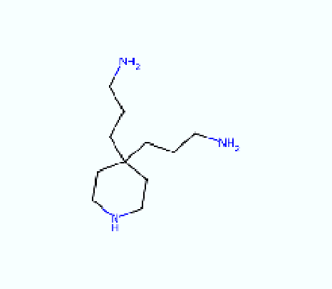 NCCCC1(CCCN)CCNCC1